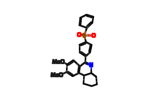 COc1cc2c(cc1OC)C1CCCCC1N=C2c1ccc(S(=O)(=O)c2ccccc2)cc1